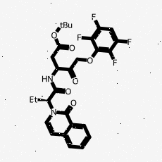 CC[C@@H](C(=O)NC(CC(=O)OC(C)(C)C)C(=O)COc1c(F)c(F)cc(F)c1F)n1ccc2ccccc2c1=O